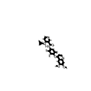 COc1cc2nccc(Oc3c(F)cc(NC(=O)c4cnccc4OC4CC4)c(F)c3F)c2cc1OC